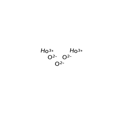 [Ho+3].[Ho+3].[O-2].[O-2].[O-2]